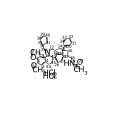 COc1cc2c(cc1OC)C(N(CCCC(CCCNC(C)=O)(c1ccccc1)c1ccccc1)Cc1ccccc1)CCC2.Cl.Cl